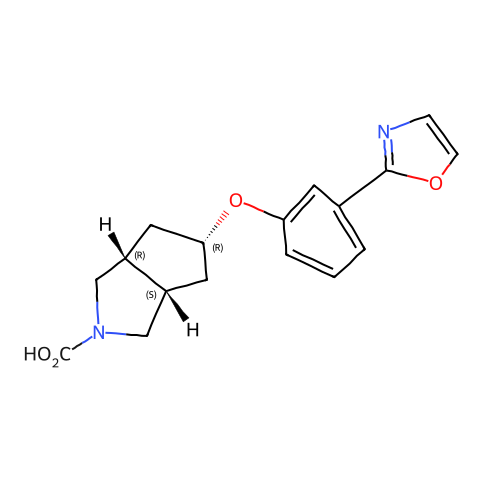 O=C(O)N1C[C@H]2C[C@@H](Oc3cccc(-c4ncco4)c3)C[C@H]2C1